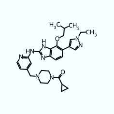 CCn1cc(-c2ccc3nc(Nc4cc(CN5CCN(C(=O)C6CC6)CC5)ccn4)[nH]c3c2OCC(C)C)cn1